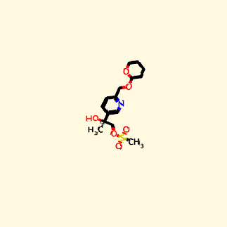 C[C@@](O)(COS(C)(=O)=O)c1ccc(COC2CCCCO2)nc1